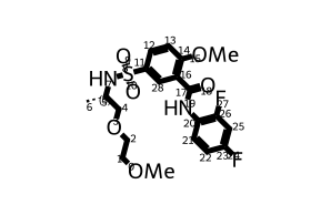 COCCOC[C@H](C)NS(=O)(=O)c1ccc(OC)c(C(=O)Nc2ccc(F)cc2F)c1